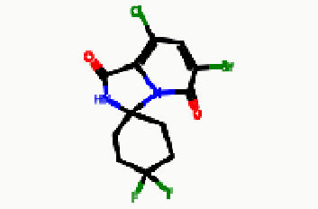 O=C1NC2(CCC(F)(F)CC2)n2c1c(Cl)cc(Br)c2=O